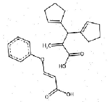 C=C(C(=O)O)C(C1=CCCC1)C1=CCCC1.O=C(O)C=COc1ccccc1